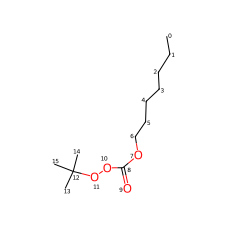 CCCCCCCOC(=O)OOC(C)(C)C